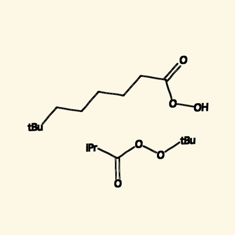 CC(C)(C)CCCCCC(=O)OO.CC(C)C(=O)OOC(C)(C)C